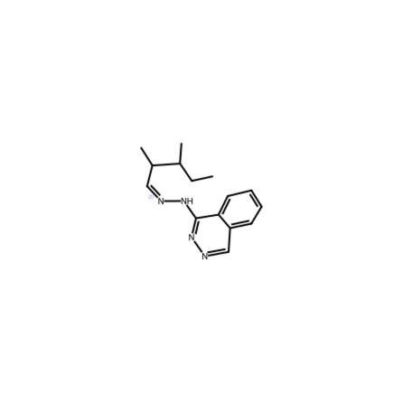 CCC(C)C(C)/C=N\Nc1nncc2ccccc12